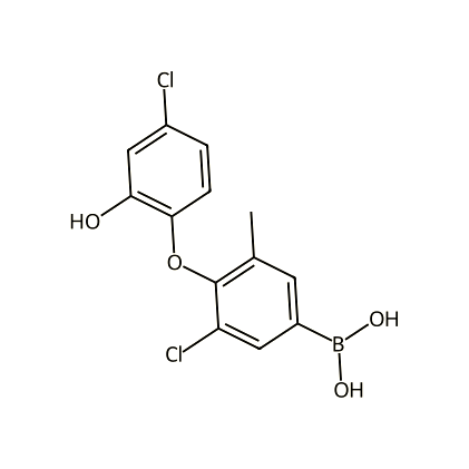 Cc1cc(B(O)O)cc(Cl)c1Oc1ccc(Cl)cc1O